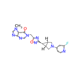 Cn1cnc2ncn(Cc3nc([C@H]4[C@@H]5CN(c6ccnc(F)c6)C[C@@H]54)no3)c(=O)c21